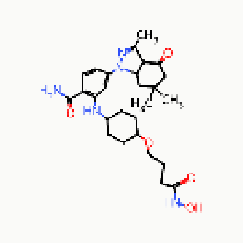 CC1=NN(c2ccc(C(N)=O)c(NC3CCC(OCCCC(=O)NO)CC3)c2)C2CC(C)(C)CC(=O)C12